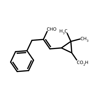 CC1(C)C(C=C(C=O)Cc2ccccc2)C1C(=O)O